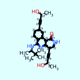 CC(Nc1nc2c(C#C[C@H](C)O)c[nH]c(=O)c2c2cc(C#C[C@@H](C)O)ccc12)C(C)(C)C